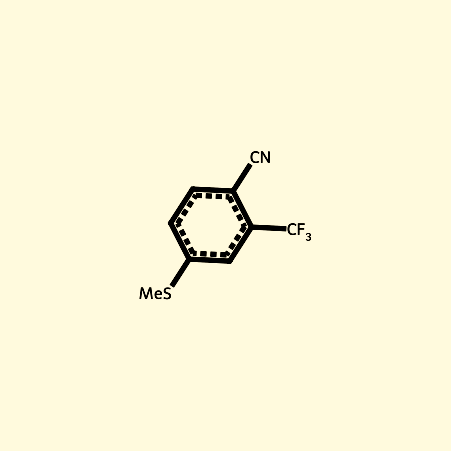 CSc1ccc(C#N)c(C(F)(F)F)c1